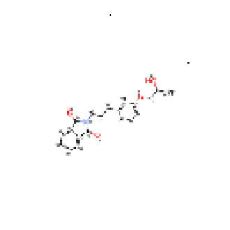 CC(C)C(O)COc1cccc(CCCN2C(=O)c3ccccc3C2=O)c1